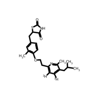 [2H]c1c(CCOc2ccc(CC3SC(=O)NC3=O)cc2C)nc(C)c(CC(C)C)c1[2H]